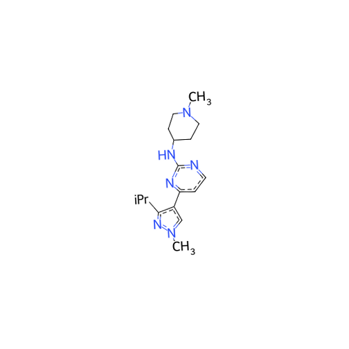 CC(C)c1nn(C)cc1-c1ccnc(NC2CCN(C)CC2)n1